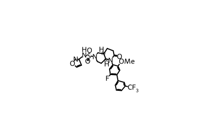 COc1cc(-c2cccc(C(F)(F)F)c2)c(F)cc1N1C(=O)CC[C@@H]2CN(S(=O)(=O)Nc3ccon3)CC[C@@H]21